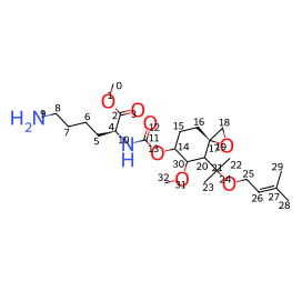 COC(=O)[C@H](CCCCN)NC(=O)OC1CC[C@]2(CO2)C(C(C)(C)OCC=C(C)C)C1OC